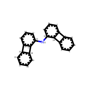 c1ccc2c(c1)-c1cccc([N]c3cccc4c3-c3ccccc3-4)c1-2